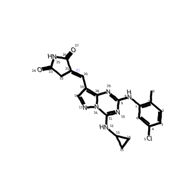 Cc1ccc(Cl)cc1Nc1nc(NC2CC2)n2ncc(/C=C3\CC(=O)NC3=O)c2n1